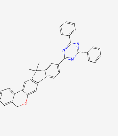 CC1(C)c2cc(-c3nc(-c4ccccc4)nc(-c4ccccc4)n3)ccc2-c2cc3c(cc21)-c1ccccc1CO3